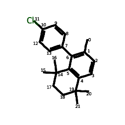 Cc1ccc2c(c1-c1ccc(Cl)cc1)C(C)(C)CCC2(C)C